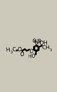 CCOC(=O)CCCOc1cc([N+](=O)[O-])c(C(C)O)cc1CO